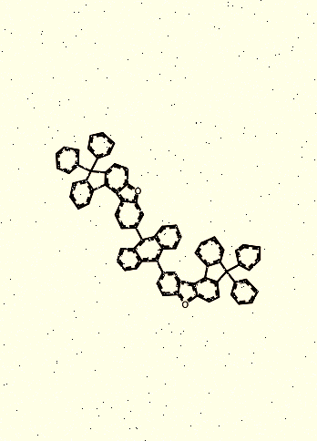 c1ccc(C2(c3ccccc3)c3ccccc3-c3c2ccc2oc4cc(-c5c6ccccc6c(-c6ccc7oc8ccc9c(c8c7c6)-c6ccccc6C9(c6ccccc6)c6ccccc6)c6ccccc56)ccc4c32)cc1